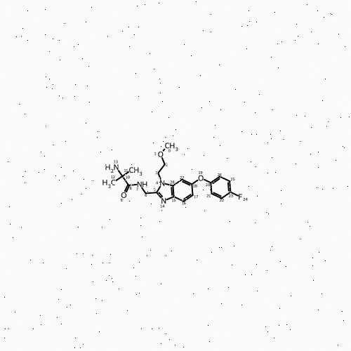 COCCn1c(CNC(=O)C(C)(C)N)nc2ccc(Oc3ccc(F)cc3)cc21